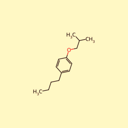 CCCCc1ccc(OCC(C)C)cc1